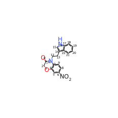 O=C1COc2cc([N+](=O)[O-])ccc2N1CCc1c[nH]c2ccccc12